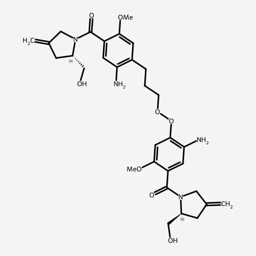 C=C1C[C@@H](CO)N(C(=O)c2cc(N)c(CCCOOc3cc(OC)c(C(=O)N4CC(=C)C[C@H]4CO)cc3N)cc2OC)C1